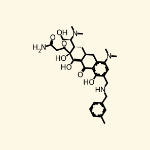 Cc1cccc(CNCc2cc(N(C)C)c3c(c2O)C(=O)C2=C(O)[C@](O)(C(=O)CC(N)=O)[C@H]([C@@H](CO)N(C)C)CC2C3)c1